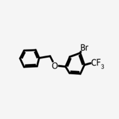 FC(F)(F)c1ccc(OCc2ccccc2)cc1Br